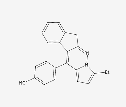 CCc1ccc2c(-c3ccc(C#N)cc3)c3c(nn12)Cc1ccccc1-3